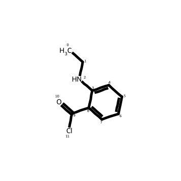 CCNc1ccccc1C(=O)Cl